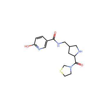 O=C(NCC1CNC(C(=O)N2CCSC2)C1)c1ccc(O)nc1